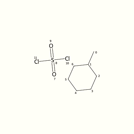 CC1CCCCC1.O=S(=O)(Cl)Cl